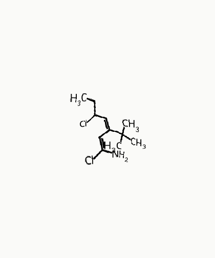 CCC(Cl)/C=C(\C=C(/N)Cl)C(C)(C)C